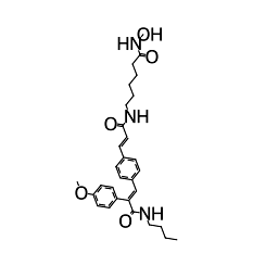 CCCCNC(=O)/C(=C/c1ccc(/C=C/C(=O)NCCCCCC(=O)NO)cc1)c1ccc(OC)cc1